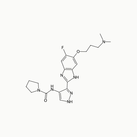 CN(C)CCCOc1cc2[nH]c(-c3n[nH]cc3NC(=O)N3CCCC3)nc2cc1F